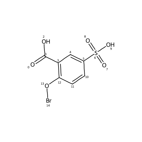 O=C(O)c1cc(S(=O)(=O)O)ccc1OBr